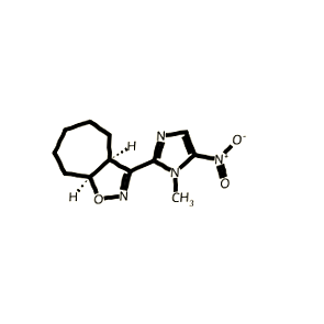 Cn1c([N+](=O)[O-])cnc1C1=NO[C@H]2CCCCC[C@@H]12